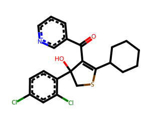 O=C(C1=C(C2CCCCC2)SCC1(O)c1ccc(Cl)cc1Cl)c1cccnc1